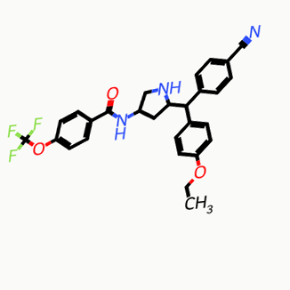 CCOc1ccc(C(c2ccc(C#N)cc2)C2CC(NC(=O)c3ccc(OC(F)(F)F)cc3)CN2)cc1